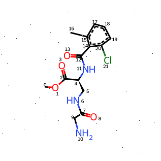 COC(=O)[C@H](CNC(=O)CN)NC(=O)c1c(C)cccc1Cl